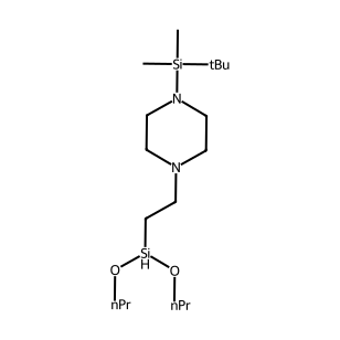 CCCO[SiH](CCN1CCN([Si](C)(C)C(C)(C)C)CC1)OCCC